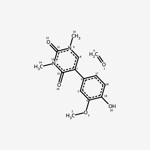 C=O.COc1cc(-c2cn(C)c(=O)n(C)c2=O)ccc1O